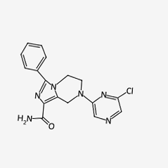 NC(=O)c1nc(-c2ccccc2)n2c1CN(c1cncc(Cl)n1)CC2